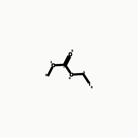 COC(=O)OCI